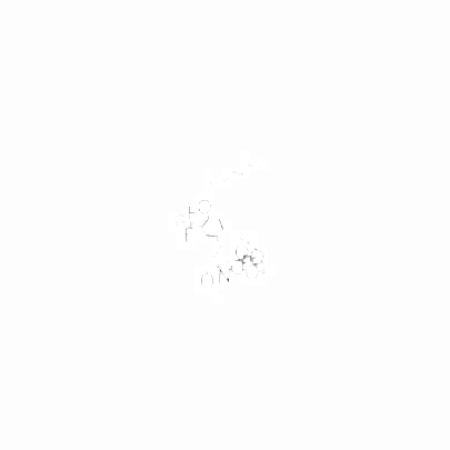 CC1=NC(CCc2ccc(OCC[C@H](C)CCCC(C)C)c(C(F)(F)F)c2)(COP(=O)(OC(C)(C)C)OC(C)(C)C)CO1